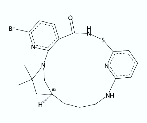 CC1(C)C[C@@H]2CCCNc3cccc(n3)SNC(=O)c3ccc(Br)nc3N1C2